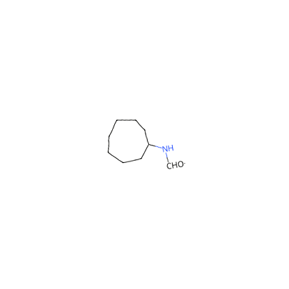 O=[C]NC1CCCCCCC1